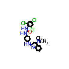 CN(C)c1cc(NC2CCC(NC(=O)Nc3c(Cl)cc(Cl)cc3Cl)CC2)nc2ccccc12